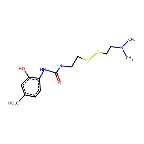 CN(C)CCSSCCNC(=O)Nc1ccc(C(=O)O)cc1O